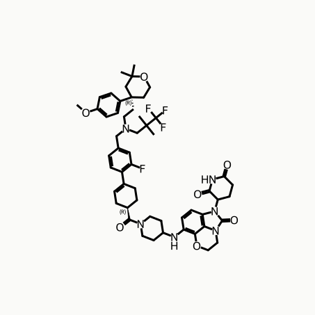 COc1ccc([C@]2(CCN(Cc3ccc(C4=CC[C@H](C(=O)N5CCC(Nc6ccc7c8c6OCCn8c(=O)n7C6CCC(=O)NC6=O)CC5)CC4)c(F)c3)CC(C)(C)C(F)(F)F)CCOC(C)(C)C2)cc1